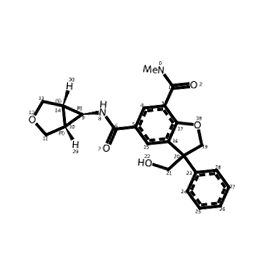 CNC(=O)c1cc(C(=O)N[C@H]2[C@@H]3COC[C@@H]32)cc2c1OCC2(CO)c1ccccc1